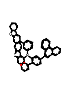 c1ccc(-c2ccc(-c3cc4ccccc4c4ccccc34)cc2N(c2cccc(-c3ccc4oc5ccccc5c4c3)c2)c2cccc3sc4ccccc4c23)cc1